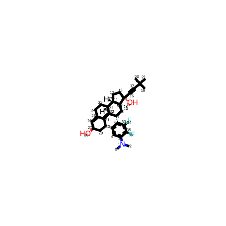 CN(C)c1ccc([C@H]2C[C@@]3(C)[C@@H](CC[C@@]3(O)C#CC(C)(C)C)[C@@H]3CCC4=CC(O)CCC4=C32)c(F)c1F